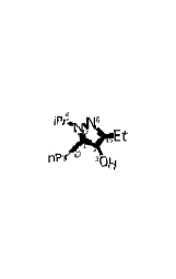 CCCc1c(O)c(CC)nn1C(C)C